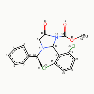 C[C@@H](c1ccccc1)N1CC(=O)N(C(=O)OC(C)(C)C)C1c1c(Cl)cccc1Cl